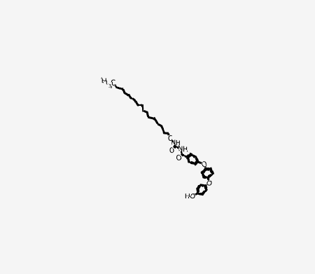 CCCCCCCCCCCCCCCCCCNC(=O)NC(=O)c1ccc(Oc2ccc(Oc3ccc(O)cc3)cc2)cc1